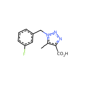 Cc1c(C(=O)O)nnn1Cc1cccc(F)c1